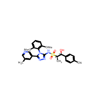 COc1cccc(OC)c1-n1c(NS(=O)(=O)[C@H](C)[C@@H](O)c2ccc(C#N)cc2)nnc1-c1cncc(C)c1